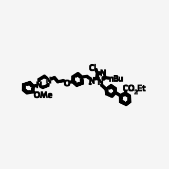 CCCCc1nc(Cl)c(N(C)Cc2ccc(OCCCN3CCN(c4ccccc4OC)CC3)cc2)n1Cc1ccc(-c2ccccc2C(=O)OCC)cc1